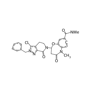 CNC(=O)c1ccc2c(c1)OC(N1CCc3c(nn(Cc4ccccc4)c3Cl)C1=O)CC(=O)N2C